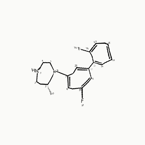 C[C@@H]1CNCCN1c1cc(F)cc(-c2ccccc2F)c1